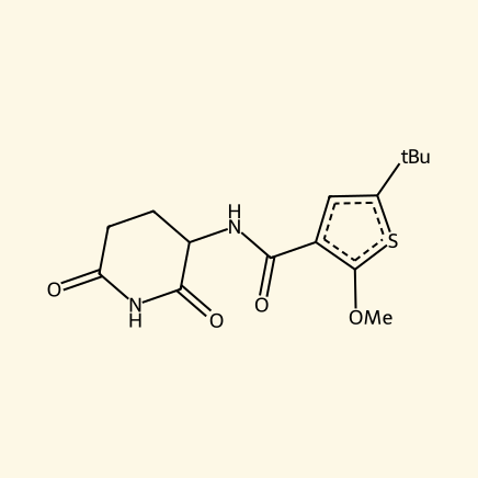 COc1sc(C(C)(C)C)cc1C(=O)NC1CCC(=O)NC1=O